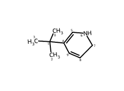 CC(C)(C)C1=CNCC=C1